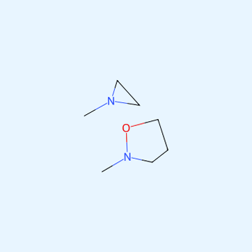 CN1CC1.CN1CCCO1